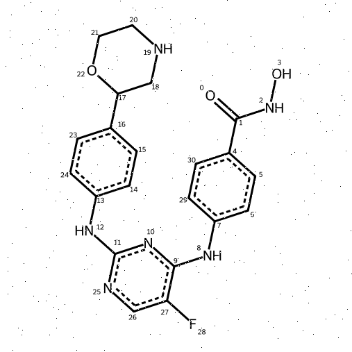 O=C(NO)c1ccc(Nc2nc(Nc3ccc(C4CNCCO4)cc3)ncc2F)cc1